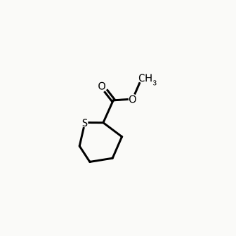 COC(=O)C1CCCCS1